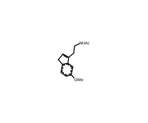 COc1ccc2c(c1)C(CCNC(C)=O)=CC2